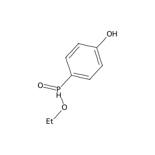 CCO[PH](=O)c1ccc(O)cc1